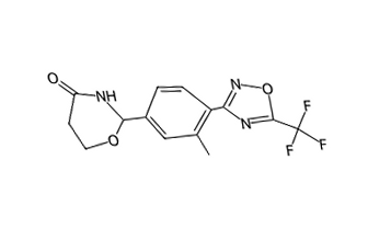 Cc1cc(C2NC(=O)CCO2)ccc1-c1noc(C(F)(F)F)n1